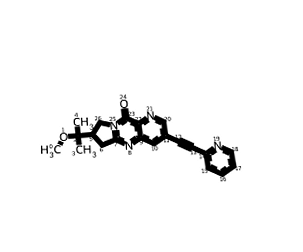 COC(C)(C)C1Cc2nc3cc(C#Cc4ccccn4)cnc3c(=O)n2C1